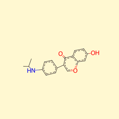 CC(C)Nc1ccc(-c2coc3cc(O)ccc3c2=O)cc1